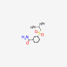 CCCC(CCC)CS(=O)(=O)c1cccc(C(N)=O)c1